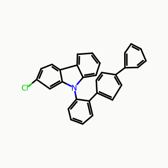 Clc1ccc2c3ccccc3n(-c3ccccc3-c3ccc(-c4ccccc4)cc3)c2c1